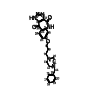 O=c1[nH]c2cc(OCCCN3CCN(Cc4ccccc4)CC3)ccc2c(=O)c2[nH]nnc12